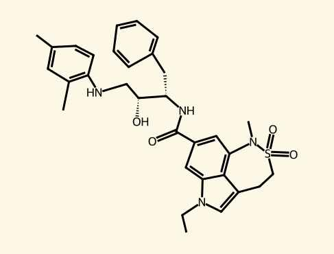 CCn1cc2c3c(cc(C(=O)N[C@@H](Cc4ccccc4)[C@H](O)CNc4ccc(C)cc4C)cc31)N(C)S(=O)(=O)CC2